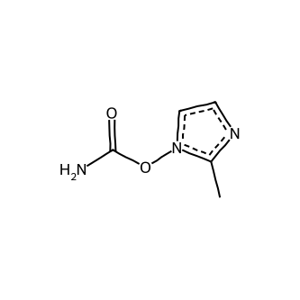 Cc1nccn1OC(N)=O